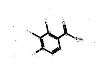 CNC(=O)c1ccc(F)c(F)c1F